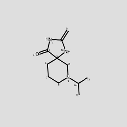 C=C1NC(=O)C2(CCCN(C(C)C)C2)N1